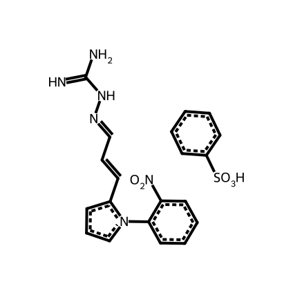 N=C(N)N/N=C/C=C/c1cccn1-c1ccccc1[N+](=O)[O-].O=S(=O)(O)c1ccccc1